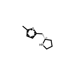 Cc1ccc(C[C@@H]2CCCN2)s1